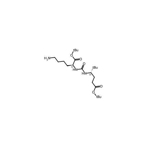 CC(C)(C)OC(=O)CC[C@H](NC(=O)N[C@@H](CCCCN)C(=O)OC(C)(C)C)C(C)(C)C